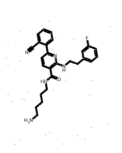 N#Cc1ccccc1-c1ccc(C(=O)NCCCCCN)c(NCCc2cccc(F)c2)n1